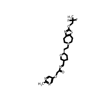 Cc1ncc(OCC(=O)/N=C/C2CC[C@H](CCN3CCc4nc(OCC(C)(F)F)sc4CC3)OC2)cn1